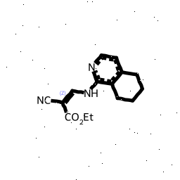 CCOC(=O)/C(C#N)=C\Nc1nccc2c1CCCC2